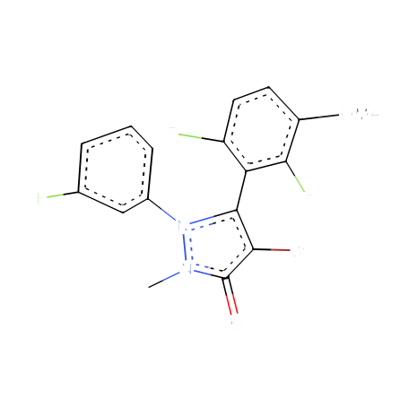 COc1ccc(F)c(-c2c(Br)c(=O)n(C)n2-c2cccc(F)c2)c1F